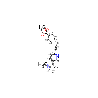 COC(=O)[C@H]1CC[C@H](CC#Cc2ccc(C3CCCN3C)cn2)CC1